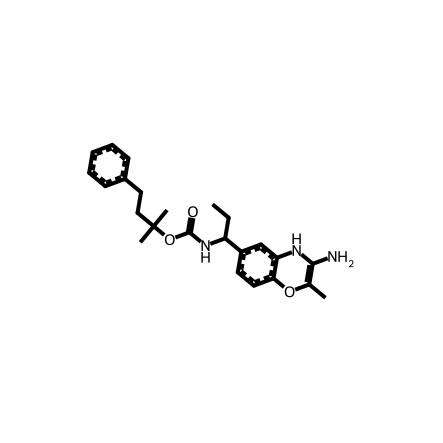 CCC(NC(=O)OC(C)(C)CCc1ccccc1)c1ccc2c(c1)NC(N)=C(C)O2